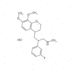 CNCC(CC1CCOc2c1ccc(OC)c2OC)c1cccc(F)c1.Cl